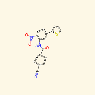 N#Cc1ccc(C(=O)Nc2cc(-c3cccs3)ccc2[N+](=O)[O-])cc1